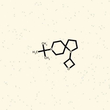 CC(C)(C)N1CCC2(CCCN2C2COC2)CC1